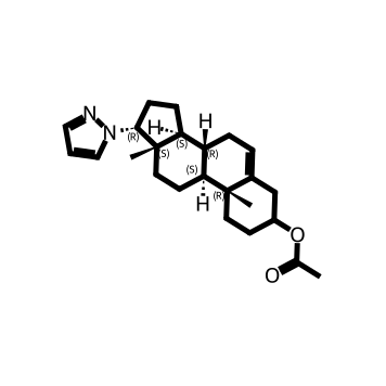 CC(=O)OC1CC[C@@]2(C)C(=CC[C@H]3[C@@H]4CC[C@@H](n5cccn5)[C@@]4(C)CC[C@@H]32)C1